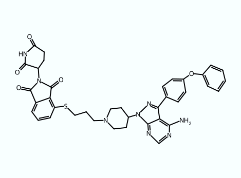 Nc1ncnc2c1c(-c1ccc(Oc3ccccc3)cc1)nn2C1CCN(CCCSc2cccc3c2C(=O)N(C2CCC(=O)NC2=O)C3=O)CC1